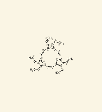 COc1c(OC)c2ccc3sc(ccc4sc(ccc1s2)c(OC)c4OC)c(OC)c3OC